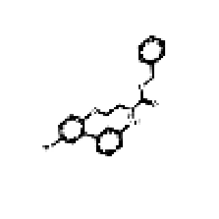 N#Cc1ccc(OCCNC(=O)OCc2ccccc2)c(-c2cccc(O)c2)c1